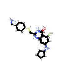 NC[C@H]1CC[C@H](SCc2nc3cc(NC4CCCC4)cc(F)c3c(=O)[nH]2)CC1